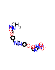 Cc1noc(COc2ccc(CN3CCN(c4ccc(OC[C@H]5CCn6cc([N+](=O)[O-])nc6O5)cc4)CC3)cc2)n1